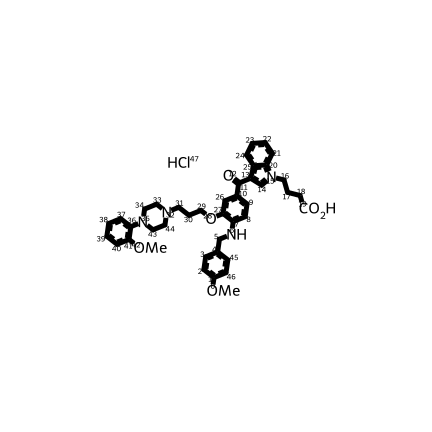 COc1ccc(CNc2ccc(C(=O)c3cn(CCCC(=O)O)c4ccccc34)cc2OCCCN2CCN(c3ccccc3OC)CC2)cc1.Cl